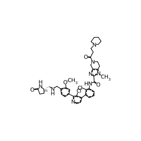 COc1cc(-c2nccc(-c3cccc(NC(=O)c4nc5c(n4C)CCN(C(=O)CCN4CCCCC4)C5)c3Cl)c2Cl)ccc1CNC[C@@H]1CCC(=O)N1